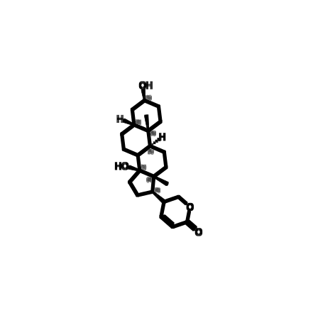 C[C@]12CC[C@H](O)C[C@H]1CCC1[C@@H]2CC[C@]2(C)[C@@H](C3C=CC(=O)OC3)CC[C@]12O